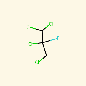 FC(Cl)(CCl)C(Cl)Cl